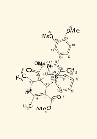 COC(=O)C1=C(C)NC(C)C(C(=O)OC)(c2nc(-c3ccc(OC)c(OC)c3)c(C)s2)C1c1ccccc1